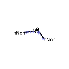 CCCCCCCCC/C=C/C=C/C=C/C=C/C=C/C(=O)OC(=O)/C=C/C=C/C=C/C=C/C=C/CCCCCCCCC